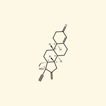 C#C[C@]1(O)C(=C)C[C@H]2[C@@H]3CCC4=CC(=O)CC[C@@H]4[C@H]3CC[C@@]21CC